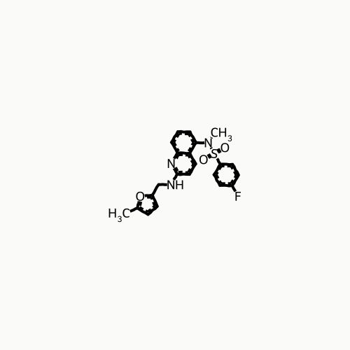 Cc1ccc(CNc2ccc3c(N(C)S(=O)(=O)c4ccc(F)cc4)cccc3n2)o1